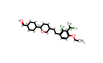 CCOc1ccc(CCC2CCC(C3CCC(C=O)CC3)OC2)c(F)c1C(F)F